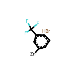 Br.FC(F)(F)c1ccc[c]([Zn])c1